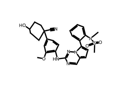 COc1cc(C2(C#N)CCC(O)CC2)ccc1Nc1ncc2ccc(-c3ccccc3N(C)S(C)(=O)=O)n2n1